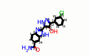 NC(=O)c1ccc2nc(-c3[nH]nc(-c4cccc(Cl)c4)c3O)[nH]c2c1